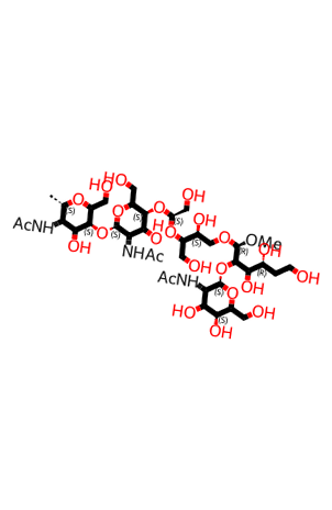 CO[C@H](OC[C@H](O)C(CO)O[C@H](CO)O[C@@H]1C(CO)O[C@@H](O[C@@H]2C(CO)O[C@@H](C)C(NC(C)=O)C2O)C(NC(C)=O)C1O)C(O[C@@H]1OC(CO)[C@@H](O)C(O)C1NC(C)=O)C(O)[C@H](O)CCO